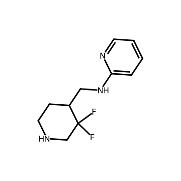 FC1(F)CNCCC1CNc1ccccn1